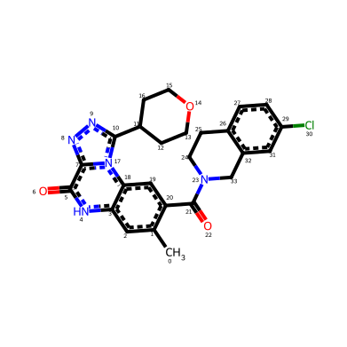 Cc1cc2[nH]c(=O)c3nnc(C4CCOCC4)n3c2cc1C(=O)N1CCc2ccc(Cl)cc2C1